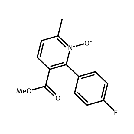 COC(=O)c1ccc(C)[n+]([O-])c1-c1ccc(F)cc1